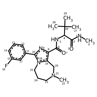 CNC(=O)C(NC(=O)c1nc(-c2cccc(F)c2)n2c1CN(C)CCC2)C(C)(C)C